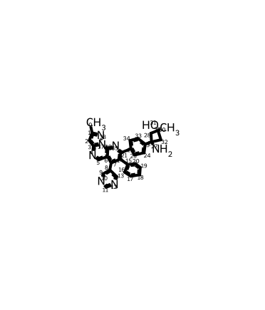 Cc1cc2ncc3c(-c4cncnc4)c(-c4ccccc4)c(-c4ccc(C5(N)CC(C)(O)C5)cc4)nc3n2n1